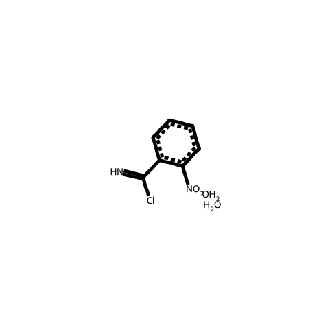 N=C(Cl)c1ccccc1[N+](=O)[O-].O.O